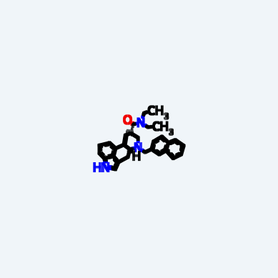 CCN(CC)C(=O)[C@H]1C=C2c3cccc4[nH]cc(c34)C[C@H]2N(Cc2ccc3ccccc3c2)C1